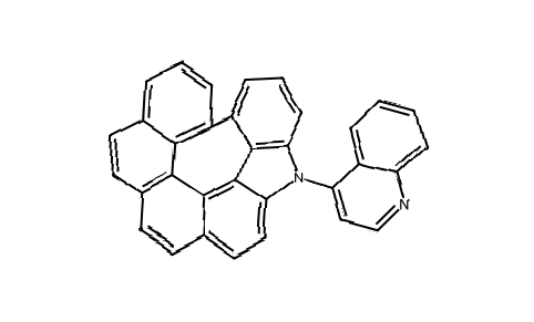 c1cc2c3c(c1)ccc1ccc4ccc5c(c6c-2cccc6n5-c2ccnc5ccccc25)c4c13